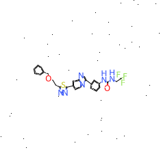 O=C(NCC(F)(F)F)Nc1cccc(-c2cnc3cc(-c4nnc(CCOCc5ccccc5)s4)ccn23)c1